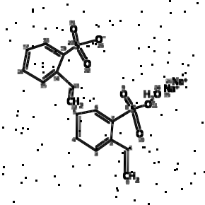 C=Cc1ccccc1S(=O)(=O)[O-].C=Cc1ccccc1S(=O)(=O)[O-].O.[Na+].[Na+]